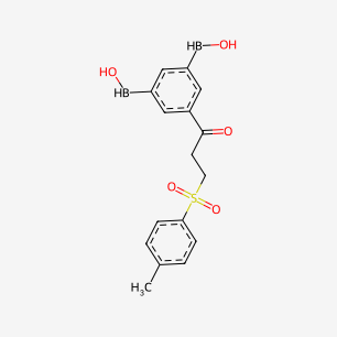 Cc1ccc(S(=O)(=O)CCC(=O)c2cc(BO)cc(BO)c2)cc1